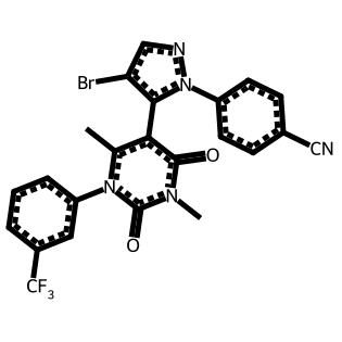 Cc1c(-c2c(Br)cnn2-c2ccc(C#N)cc2)c(=O)n(C)c(=O)n1-c1cccc(C(F)(F)F)c1